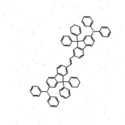 C1=CC(C2(c3ccccc3)c3cc(/C=C/c4ccc5c(c4)C(C4=CCCC=C4)(c4ccccc4)c4cc(N(c6ccccc6)c6ccccc6)ccc4-5)ccc3-c3ccc(N(c4ccccc4)c4ccccc4)cc32)=CCC1